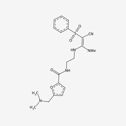 CNC(NCCNC(=O)c1ccc(CN(C)C)o1)=C(C#N)S(=O)(=O)c1ccccc1